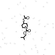 CC(=O)SC1CCN(C(=O)OCC(C)C)CC1